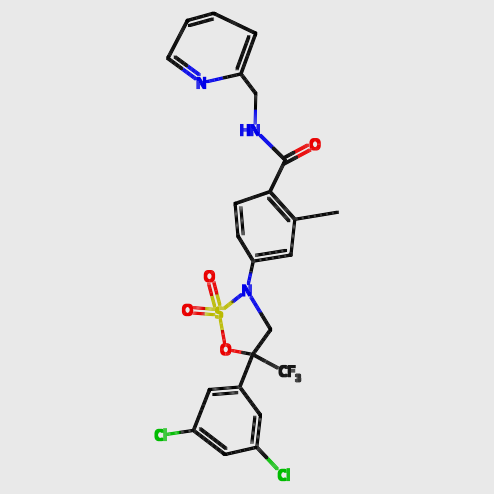 Cc1cc(N2CC(c3cc(Cl)cc(Cl)c3)(C(F)(F)F)OS2(=O)=O)ccc1C(=O)NCc1ccccn1